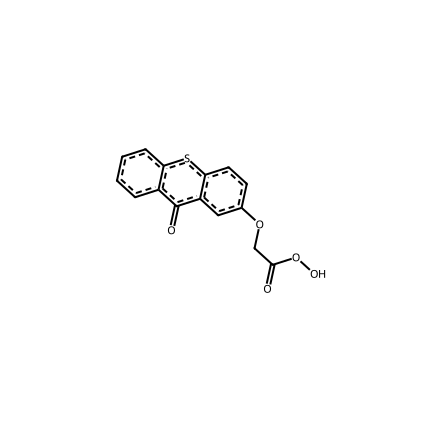 O=C(COc1ccc2sc3ccccc3c(=O)c2c1)OO